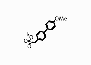 COc1ccc(-c2ccc(CS(=O)(=O)OI)cc2)cc1